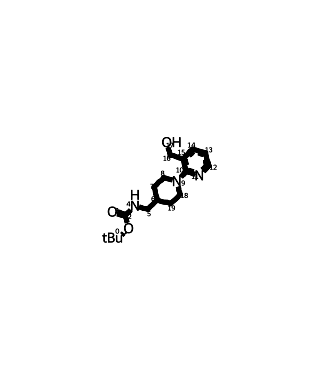 CC(C)(C)OC(=O)NCC1CCN(c2ncccc2CO)CC1